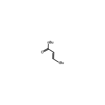 CCCCC(=O)/C=C/C(C)(C)C